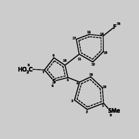 CSc1ccc(-c2sc(C(=O)O)cc2-c2ccc(F)cc2)cc1